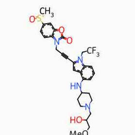 COCC(O)CN1CCC(Nc2cccc3c2cc(C#CCn2c(=O)oc4cc([S+](C)[O-])ccc42)n3CC(F)(F)F)CC1